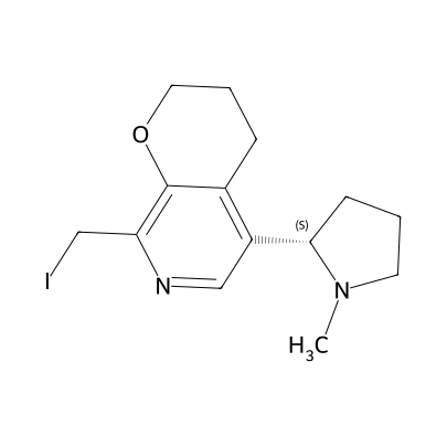 CN1CCC[C@H]1c1cnc(CI)c2c1CCCO2